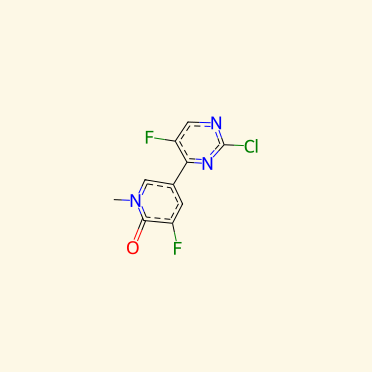 Cn1cc(-c2nc(Cl)ncc2F)cc(F)c1=O